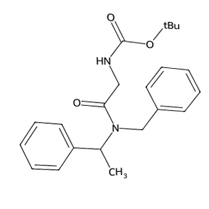 CC(c1ccccc1)N(Cc1ccccc1)C(=O)CNC(=O)OC(C)(C)C